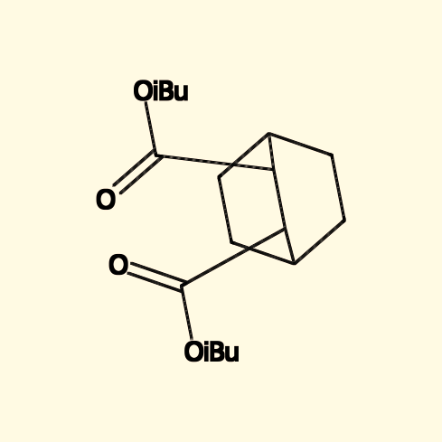 CC(C)COC(=O)C1C2CCC(CC2)C1C(=O)OCC(C)C